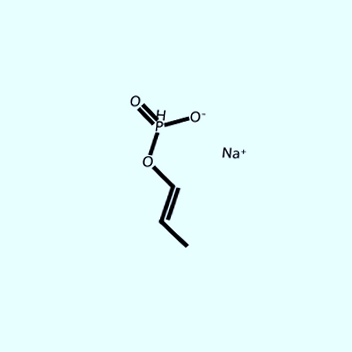 CC=CO[PH](=O)[O-].[Na+]